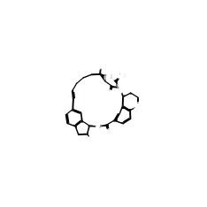 CCC12CCC/C=C/c3ccc4c(c3)C(NC(=O)c3ccc5c(c3)C(CCO5)N(C(=N)N1)C(=O)C2)C(O)C4